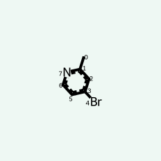 Cc1cc(Br)[c]cn1